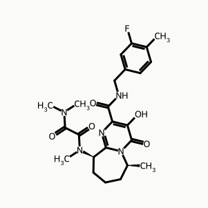 Cc1ccc(CNC(=O)c2nc3n(c(=O)c2O)[C@@H](C)CCC[C@H]3N(C)C(=O)C(=O)N(C)C)cc1F